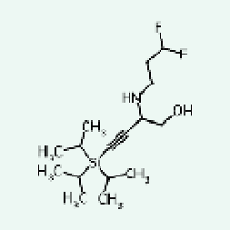 CC(C)[Si](C#CC(CO)NCCC(F)F)(C(C)C)C(C)C